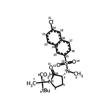 CN([C@@H]1CCN([C@](C)(C(=O)O)C(C)(C)C)C1=O)S(=O)(=O)c1ccc2cc(Cl)ccc2c1